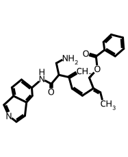 C=C(/C=C\C(=C/C)COC(=O)c1ccccc1)C(CN)C(=O)Nc1ccc2cnccc2c1